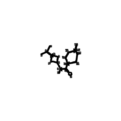 CC(C)N1CC(N(C)C(=O)N2CCN(C)CC2)C1